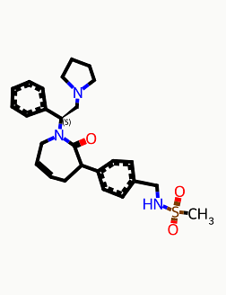 CS(=O)(=O)NCc1ccc(C2CC=CCN([C@H](CN3CCCC3)c3ccccc3)C2=O)cc1